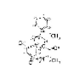 C[C@H](N)C(=O)O[C@@H](C)[C@@H](Oc1ccc(Cl)cc1Cl)c1ccccc1